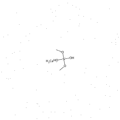 CO[Si](O)(O)OC.[CaH2]